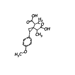 COc1ccc(C2CC2(C(C)C(=O)O)C(C)C(=O)O)cc1